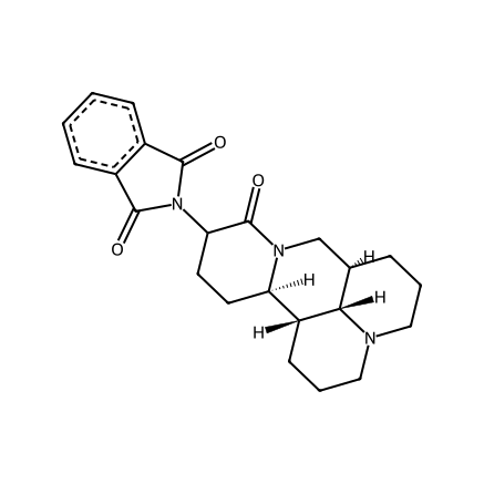 O=C1c2ccccc2C(=O)N1C1CC[C@@H]2[C@H]3CCCN4CCC[C@H](CN2C1=O)[C@@H]34